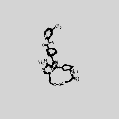 Nc1ncc2n3c(nc(-c4ccc(C(=O)Nc5cc(C(F)(F)F)ccn5)cc4)c13)[C@@H]1CC[C@H](C1)NC(=O)CCOCC/C=C/2